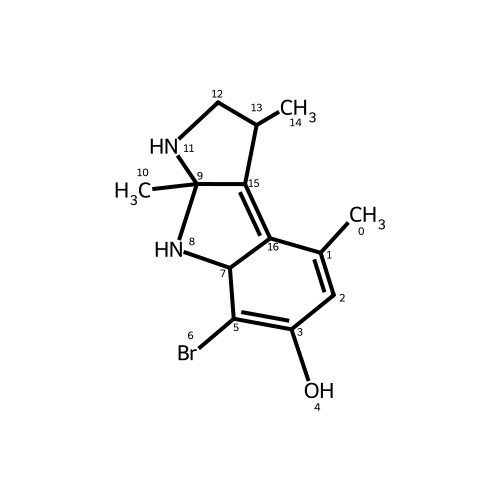 CC1=CC(O)=C(Br)C2NC3(C)NCC(C)C3=C12